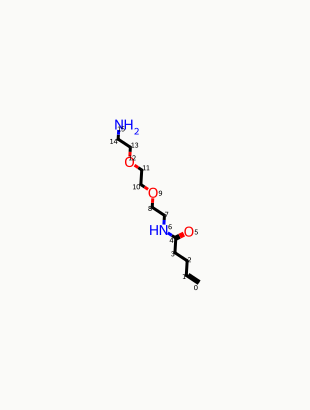 C=CCCC(=O)NCCOCCOCCN